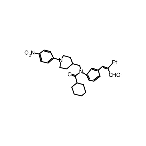 CCC([C]=O)=Cc1cccc(N(CC2CCN(c3ccc([N+](=O)[O-])cc3)CC2)C(=O)C2CCCCC2)c1